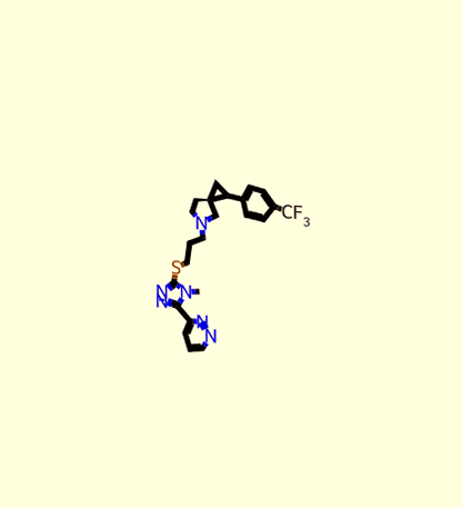 Cn1c(SCCCN2CC[C@]3(CC3c3ccc(C(F)(F)F)cc3)C2)nnc1-c1cccnn1